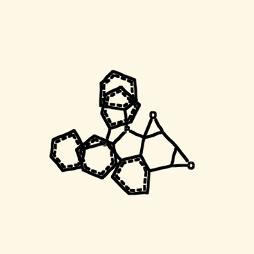 c1ccc(P(c2ccccc2)c2cccc3c2C2(P(c4ccccc4)c4ccccc4)OC2C2OC32)cc1